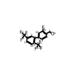 O=Cc1ccc(-c2cc(C(F)(F)F)ccc2C(F)(F)F)cc1F